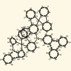 c1ccc2c(c1)-c1ccccc1C21c2ccccc2-c2c1cc(N(c1ccc3c4ccccc4c4ccccc4c3c1)c1cccc3c1-c1ccccc1C31c3ccccc3-n3c4ccccc4c4cccc1c43)c1ccccc21